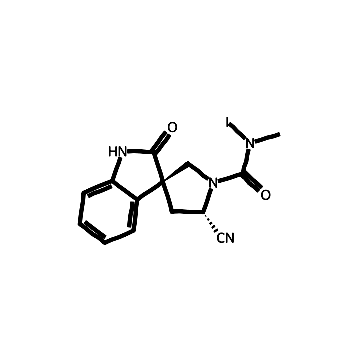 CN(I)C(=O)N1C[C@]2(C[C@H]1C#N)C(=O)Nc1ccccc12